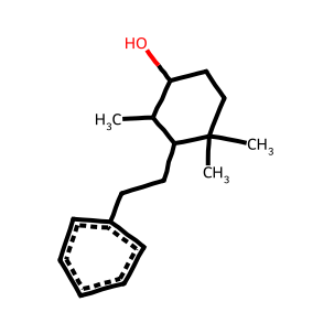 CC1C(O)CCC(C)(C)C1CCc1ccccc1